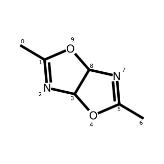 CC1=NC2OC(C)=NC2O1